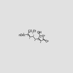 CCCCCCCCCCC(=CCCC1=CC(=O)OC1O)C(=O)OCC